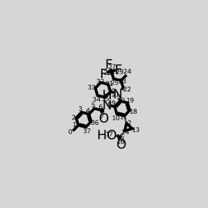 Cc1ccc(CC(=O)Nc2cc([C@@H]3C[C@@H]3C(=O)O)ccc2N(CC(C)CC(F)(F)F)C2CCCCC2)cc1